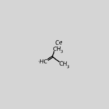 [CH]=C(C)C.[Ce]